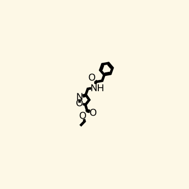 CCOC(=O)C1CC(CNC(=O)Cc2ccccc2)=NO1